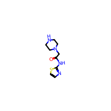 O=C(CN1CCNCC1)Nc1nccs1